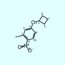 Cc1cc(OC2CCC2)ccc1[N+](=O)[O-]